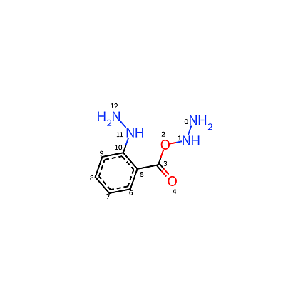 NNOC(=O)c1ccccc1NN